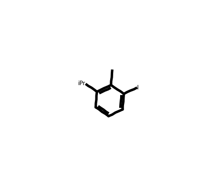 Cc1c(I)cccc1C(C)C